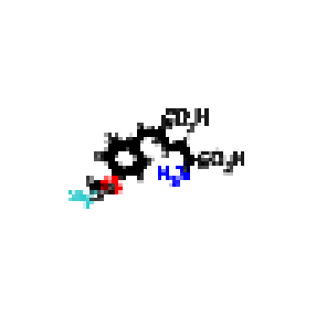 N[C@@H](CCC(Cc1ccc(OC[18F])cc1)C(=O)O)C(=O)O